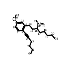 CCCCC#Cc1ccc(OC)cc1CCC(CCCCC)N(C)C